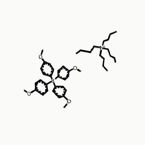 CCCC[N+](CCCC)(CCCC)CCCC.COc1ccc([B-](c2ccc(OC)cc2)(c2ccc(OC)cc2)c2ccc(OC)cc2)cc1